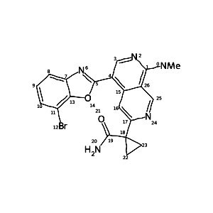 CNc1ncc(-c2nc3cccc(Br)c3o2)c2cc(C3(C(N)=O)CC3)ncc12